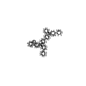 c1ccc(-c2ccc(-n3c4ccccc4c4cc(-c5ccc6c(c5)c5ccc(-c7ccccc7)cc5n6-c5ccc6c(c5)oc5ccccc56)ccc43)cc2)cc1